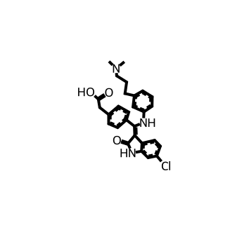 CN(C)CCCc1cccc(NC(=C2C(=O)Nc3cc(Cl)ccc32)c2ccc(CC(=O)O)cc2)c1